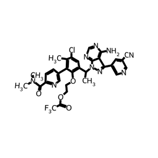 Cc1c(Cl)cc(C(C)n2nc(-c3cncc(C#N)c3)c3c(N)ncnc32)c(OCCOC(=O)C(F)(F)F)c1-c1ccc(C(=O)N(C)C)nc1